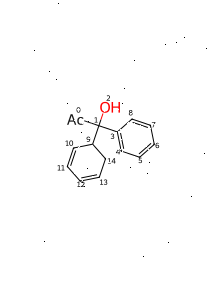 CC(=O)C(O)(c1ccccc1)C1C=CC=CC1